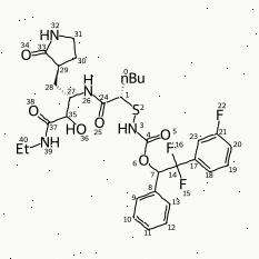 CCCC[C@H](SNC(=O)OC(c1ccccc1)C(F)(F)c1cccc(F)c1)C(=O)N[C@@H](C[C@@H]1CCNC1=O)C(O)C(=O)NCC